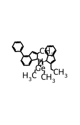 CCC1=Cc2ccccc2[CH]1[Zr]([CH]1C(C)=Cc2c(-c3ccccc3)cccc21)[GeH]([CH2]C)[CH2]C